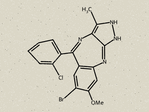 COc1cc2c(cc1Br)C(c1ccccc1Cl)=NC1=C(C)NNC1=N2